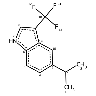 CC(C)c1ccc2[nH]cc(C(F)(F)F)c2c1